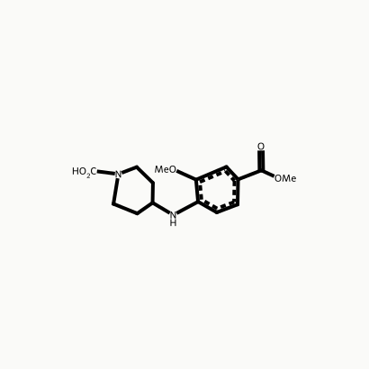 COC(=O)c1ccc(NC2CCN(C(=O)O)CC2)c(OC)c1